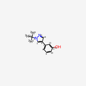 [2H]C([2H])([2H])n1cc(-c2cccc(O)c2)cn1